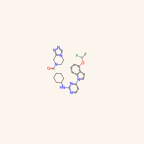 O=C([C@H]1CC[C@H](Nc2nccc(-n3ccc4c(OC(F)F)cccc43)n2)CC1)N1CCn2cnnc2C1